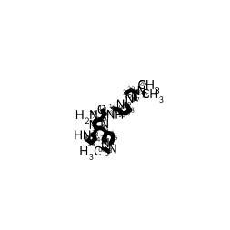 Cc1cnc2ccc(-c3nc(C(=O)NCc4cccc(N5CCC(N(C)C)C5)n4)c(N)nc3-c3ccc[nH]3)cn12